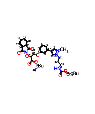 C[n+]1cc(-c2cccc(OCC(ON3C(=O)c4ccccc4C3=O)C(=O)OC(C)(C)C)c2)cn1CCCNC(=O)OOC(C)(C)C.[I-]